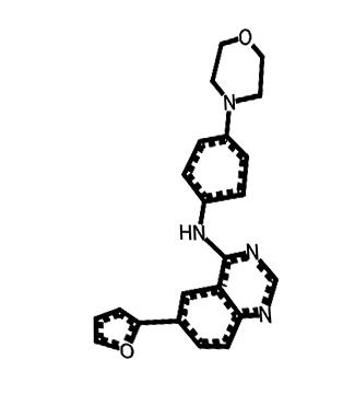 c1coc(-c2ccc3ncnc(Nc4ccc(N5CCOCC5)cc4)c3c2)c1